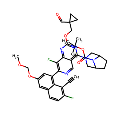 C#Cc1c(F)ccc2cc(OCOC)cc(-c3ncc4c(N5CC6CCC(C5)N6C(=O)OC(C)(C)C)nc(OCC5(C=O)CC5)nc4c3F)c12